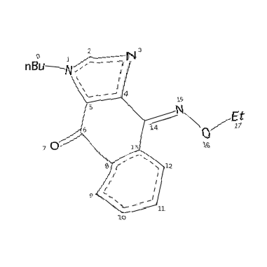 CCCCn1cnc2c1C(=O)c1ccccc1/C2=N\OCC